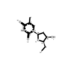 Cc1cn([C@H]2C[C@@H](O)[C@@H](CI)O2)c(=O)[nH]c1=O